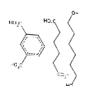 O=C(O)CCCCC(=O)O.O=C(O)c1cccc(C(=O)O)c1.OCCCCCCO